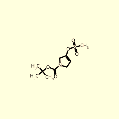 CC(C)(C)OC(=O)N1CC=C(OS(C)(=O)=O)C1